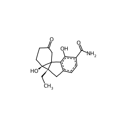 CC[C@]12Cc3ccc(C(N)=O)c(O)c3C13CC(=O)CC[C@]32O